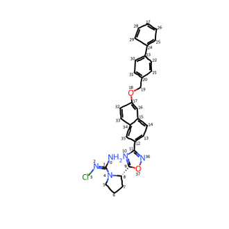 N/C(=N/Cl)N1CCC[C@H]1c1nc(-c2ccc3cc(OCc4ccc(-c5ccccc5)cc4)ccc3c2)no1